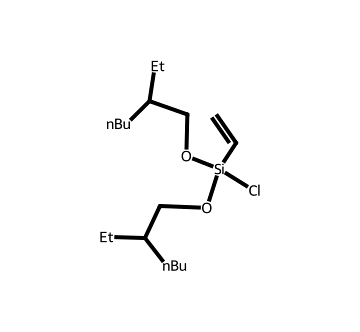 C=C[Si](Cl)(OCC(CC)CCCC)OCC(CC)CCCC